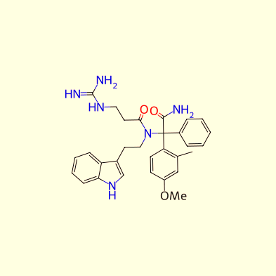 COc1ccc(C(C(N)=O)(c2ccccc2)N(CCc2c[nH]c3ccccc23)C(=O)CCNC(=N)N)c(C)c1